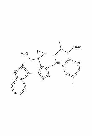 COCC1(n2c(NSC(C)C(OC)c3ncc(Cl)cn3)nnc2-c2noc3ccccc23)CC1